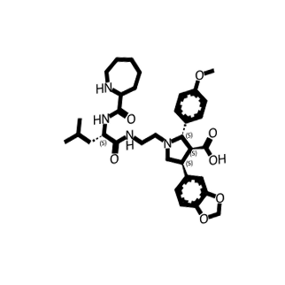 COc1ccc([C@@H]2[C@@H](C(=O)O)[C@@H](c3ccc4c(c3)OCO4)CN2CCNC(=O)[C@H](CC(C)C)NC(=O)C2CCCCCN2)cc1